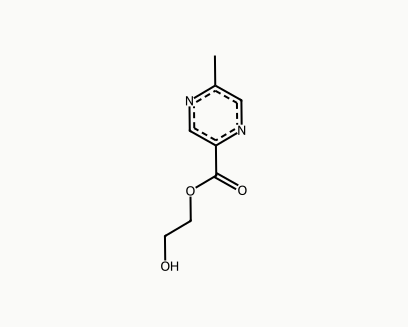 Cc1cnc(C(=O)OCCO)cn1